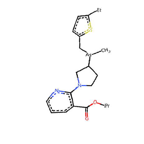 CCc1ccc(C[As](C)C2CCN(c3ncccc3C(=O)OC(C)C)C2)s1